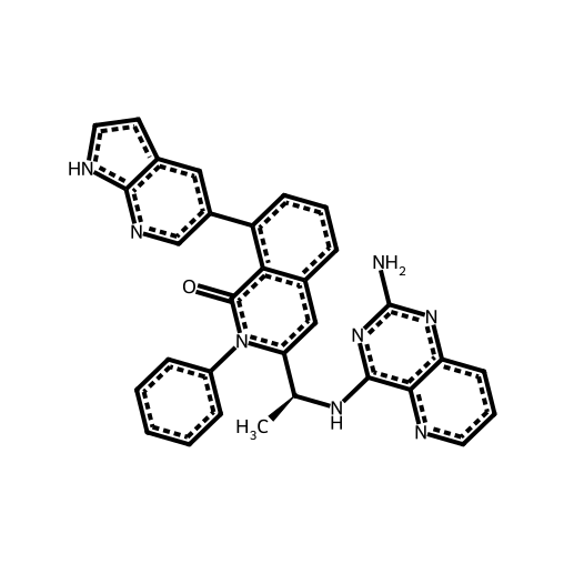 C[C@H](Nc1nc(N)nc2cccnc12)c1cc2cccc(-c3cnc4[nH]ccc4c3)c2c(=O)n1-c1ccccc1